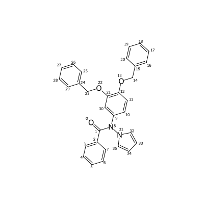 O=C(c1ccccc1)N(c1ccc(OCc2ccccc2)c(OCc2ccccc2)c1)n1cccc1